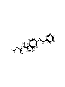 CCOC(=O)Nc1nsc2cc(OCc3ccccc3)ccc12